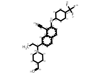 CCC(c1ccc2ccc(OC3CCC(C(F)(F)F)CC3)c(C#N)c2c1)N1CCC(C=O)CC1